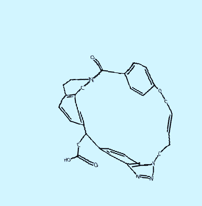 O=C(O)CC1c2ccc3c(c2)CN(CC3)C(=O)c2ccc(cc2)OC/C=C/CCn2nnc3cc1ccc32